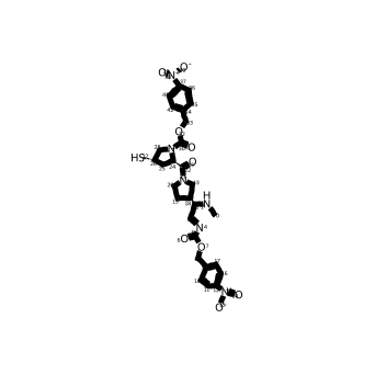 CNC(C=NC(=O)OCc1ccc([N+](=O)[O-])cc1)[C@@H]1CCN(C(=O)[C@@H]2C[C@H](S)CN2C(=O)OCc2ccc([N+](=O)[O-])cc2)C1